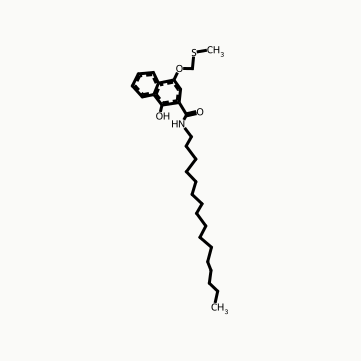 CCCCCCCCCCCCCCCCNC(=O)c1cc(OCSC)c2ccccc2c1O